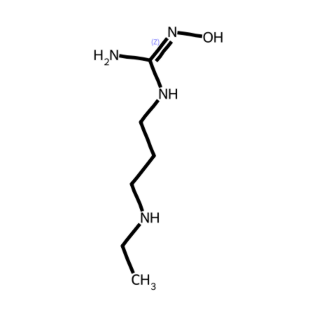 CCNCCCN/C(N)=N\O